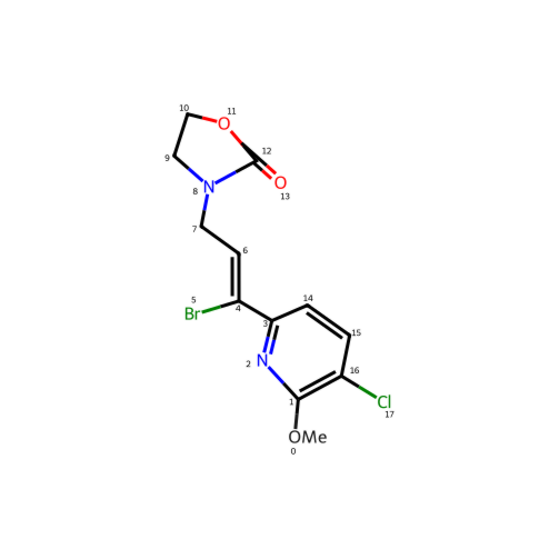 COc1nc(C(Br)=CCN2CCOC2=O)ccc1Cl